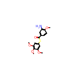 COc1ccc(C(=O)Sc2cc(OC)c(OC)c(OC)c2)cc1N